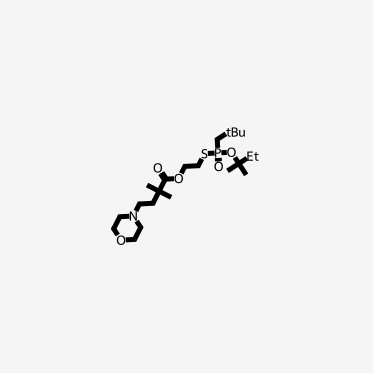 CCC(C)(C)OP(=O)(CC(C)(C)C)SCCOC(=O)C(C)(C)CCN1CCOCC1